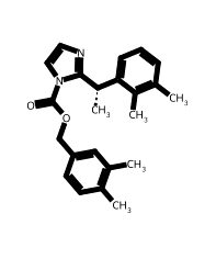 Cc1ccc(COC(=O)n2ccnc2[C@@H](C)c2cccc(C)c2C)cc1C